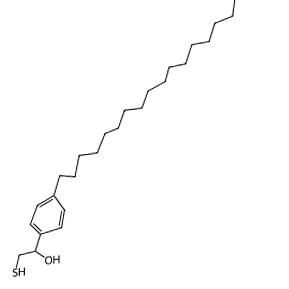 CCCCCCCCCCCCCCCCCCc1ccc(C(O)CS)cc1